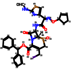 O=CNc1nc(/C(=N/OC2C=CCC2)C(=O)N[C@@H]2C(=O)N3C(C(=O)OC(c4ccccc4)c4ccccc4)=C(CI)C[S+]([O-])[C@H]23)cs1